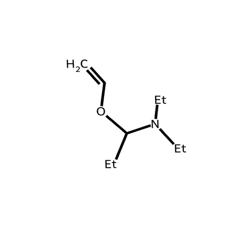 C=COC(CC)N(CC)CC